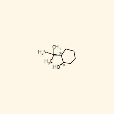 CC(C)(N)[C@H]1CCCC[C@H]1O